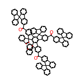 O=C(c1ccc2c(c1)C1(c3ccccc3-c3ccccc31)c1ccccc1-2)c1ccc2c(c1)C1(c3ccccc3-c3ccccc31)c1c-2c2c(c3c1-c1ccc(C(=O)c4ccc5c(c4)C4(c6ccccc6-c6ccccc64)c4ccccc4-5)cc1C31c3ccccc3-c3ccccc31)C1(c3ccccc3-c3ccccc31)c1cc(C(=O)c3ccc4c(c3)C3(c5ccccc5-c5ccccc53)c3ccccc3-4)ccc1-2